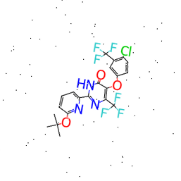 CC(C)(C)Oc1cccc(-c2nc(C(F)(F)F)c(Oc3ccc(Cl)c(C(F)(F)F)c3)c(=O)[nH]2)n1